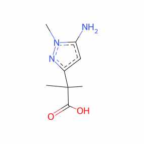 Cn1nc(C(C)(C)C(=O)O)cc1N